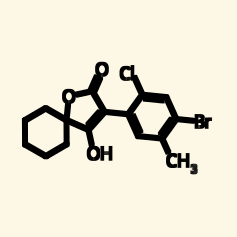 Cc1cc(C2=C(O)C3(CCCCC3)OC2=O)c(Cl)cc1Br